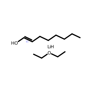 CCCCCC/C=C/O.CCOCC.[LiH]